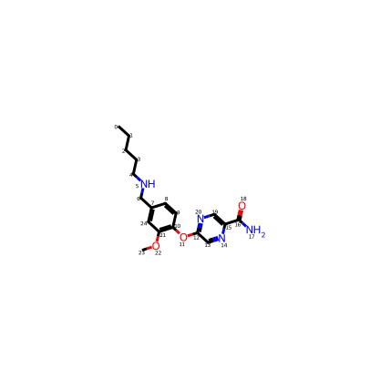 CCCCCNCc1ccc(Oc2cnc(C(N)=O)cn2)c(OC)c1